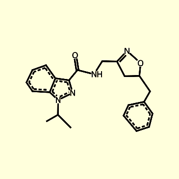 CC(C)n1nc(C(=O)NCC2=NOC(Cc3ccccc3)C2)c2ccccc21